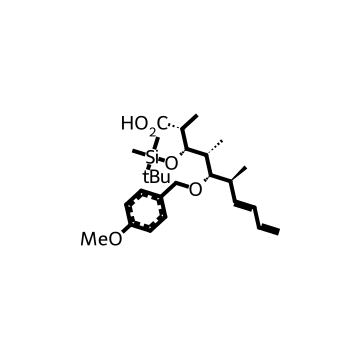 C=CC=C[C@H](C)[C@H](OCc1ccc(OC)cc1)[C@@H](C)[C@H](O[Si](C)(C)C(C)(C)C)[C@@H](C)C(=O)O